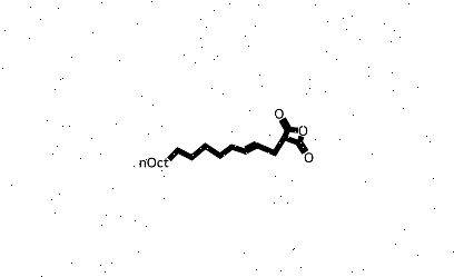 CCCCCCCCCCCCC/C=C/CC1C(=O)OC1=O